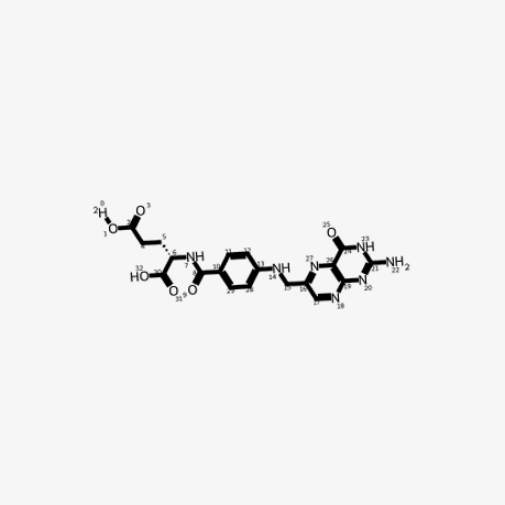 [2H]OC(=O)CC[C@H](NC(=O)c1ccc(NCc2cnc3nc(N)[nH]c(=O)c3n2)cc1)C(=O)O